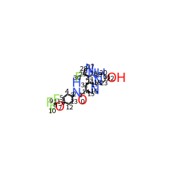 O=C(Nc1ccc(OC(F)(F)F)cc1)c1cnc(N2CCC(O)C2)c(-c2[nH]ncc2F)c1